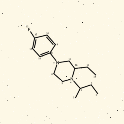 CCC(C)N1CCN(c2ccc(F)cc2)CC1CC